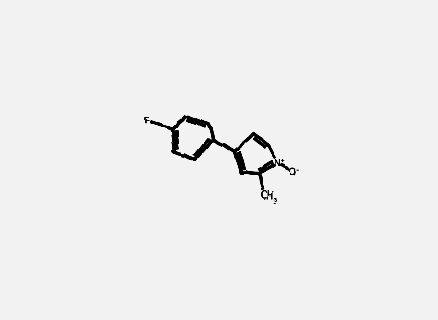 Cc1cc(-c2ccc(F)cc2)cc[n+]1[O-]